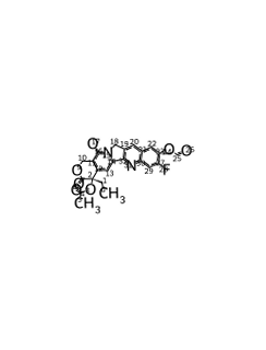 CC[C@@]1(OC(C)=O)C(=O)OCc2c1cc1n(c2=O)Cc2cc3cc(OC=O)c(F)cc3nc2-1